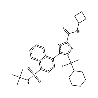 CC(C)(C)NS(=O)(=O)c1ccc(-c2sc(C(=O)NC3CCC3)nc2C(F)(F)C2CCCCC2)c2ccccc12